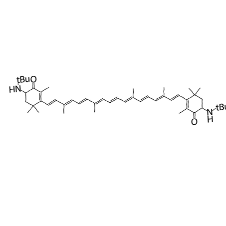 CC1=C(/C=C/C(C)=C/C=C/C(C)=C/C=C/C=C(C)/C=C/C=C(C)/C=C/C2=C(C)C(=O)C(NC(C)(C)C)CC2(C)C)C(C)(C)CC(NC(C)(C)C)C1=O